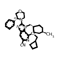 C[C@H]1CC[C@H](Cn2c(N3CCOC[C@H]3c3ccccc3)nc3cc(C#N)nc(OCC4CCC4)c32)CC1